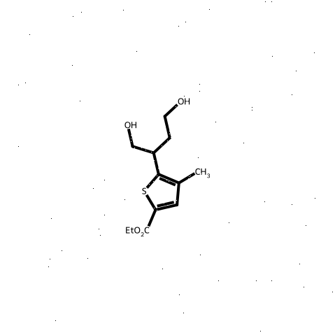 CCOC(=O)c1cc(C)c(C(CO)CCO)s1